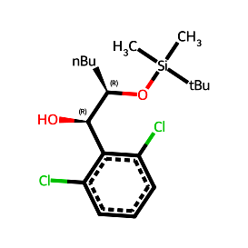 CCCC[C@@H](O[Si](C)(C)C(C)(C)C)[C@H](O)c1c(Cl)cccc1Cl